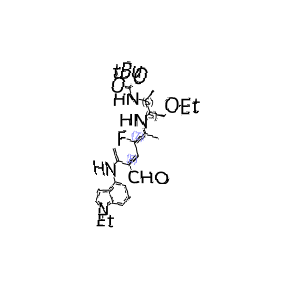 C=C(Nc1cccc2c1ccn2CC)/C(C=O)=C\C(F)=C(/C)N[C@H](COCC)[C@H](C)NC(=O)OC(C)(C)C